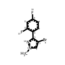 Cn1cc(Br)c(-c2ccc(F)cc2F)n1